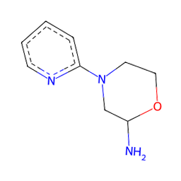 NC1CN(c2ccccn2)CCO1